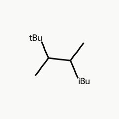 [CH2]C(C)(C)C(C)C(C)C(C)CC